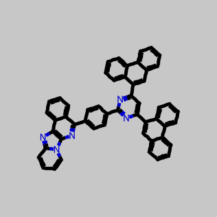 c1ccc2c(c1)cc(-c1cc(-c3cc4ccccc4c4ccccc34)nc(-c3ccc(-c4nc5c(nc6ccccn65)c5ccccc45)cc3)n1)c1ccccc12